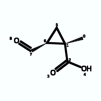 C[C@@]1(C(=O)O)C[C@H]1C=O